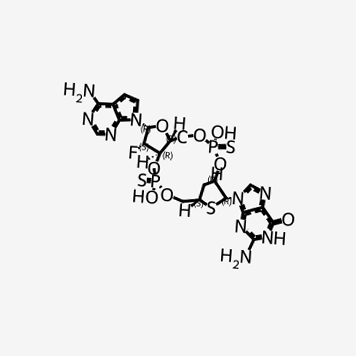 Nc1nc2c(ncn2[C@@H]2S[C@@H]3COP(O)(=S)O[C@H]4[C@H](F)[C@H](n5ccc6c(N)ncnc65)O[C@@H]4COP(O)(=S)O[C@@H]2C3)c(=O)[nH]1